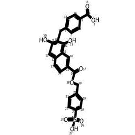 O=C(O)c1ccc(Cc2c(O)cc3ccc(C(=O)OCc4ccc(S(=O)(=O)O)cc4)cc3c2O)cc1